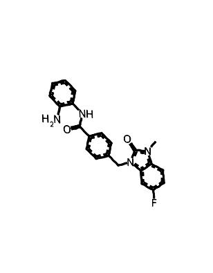 Cn1c(=O)n(Cc2ccc(C(=O)Nc3ccccc3N)cc2)c2cc(F)ccc21